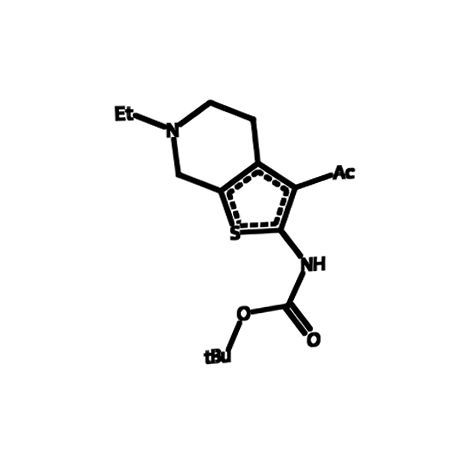 CCN1CCc2c(sc(NC(=O)OC(C)(C)C)c2C(C)=O)C1